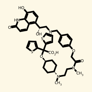 CN(CCN(C)[C@H]1CC[C@H](OC(C(=O)O)(c2cccs2)c2cccs2)CC1)C(=O)COc1ccc(CNC[C@H](O)c2ccc(O)c3[nH]c(=O)ccc23)cc1